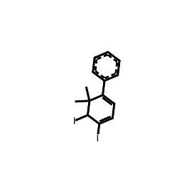 CC1(C)C(c2ccccc2)=CC=C(I)C1I